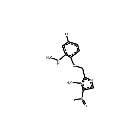 CNc1cc(Cl)ccc1OCc1ncc([N+](=O)[O-])n1C